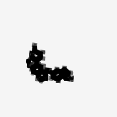 COc1cc2ncnc(Nc3ccc4[nH]ccc4c3)c2cc1-c1ccc(C)nc1